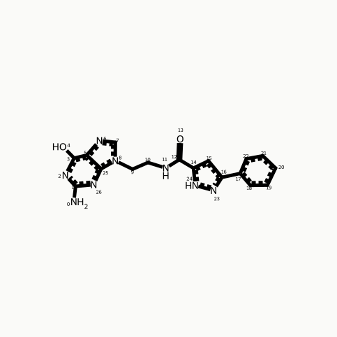 Nc1nc(O)c2ncn(CCNC(=O)c3cc(-c4ccccc4)n[nH]3)c2n1